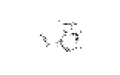 C=Cn1ccnc1.[CH2]CCC